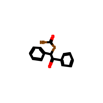 O=C(S)SC(C(=O)c1ccccc1)c1ccccc1